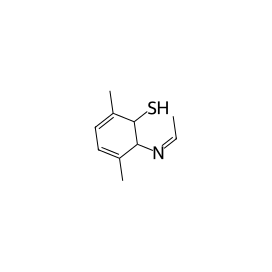 C/C=N\C1C(C)=CC=C(C)C1S